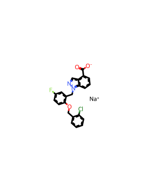 O=C([O-])c1cccc2c1cnn2Cc1cc(F)ccc1OCc1ccccc1Cl.[Na+]